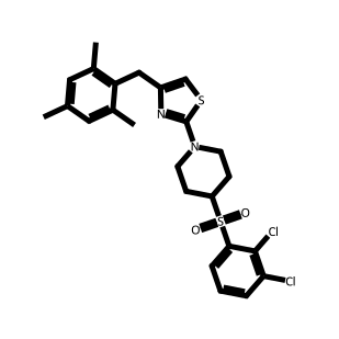 Cc1cc(C)c(Cc2csc(N3CCC(S(=O)(=O)c4cccc(Cl)c4Cl)CC3)n2)c(C)c1